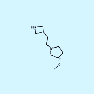 CO[C@H]1CCN(CCC2CNC2)C1